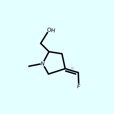 CN1C/C(=C\F)CC1CO